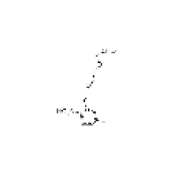 Cc1ccc(S(=O)(=O)O)c(CCOCCOCC=O)c1